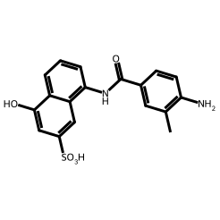 Cc1cc(C(=O)Nc2cccc3c(O)cc(S(=O)(=O)O)cc23)ccc1N